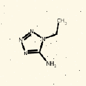 CCn1nnnc1N